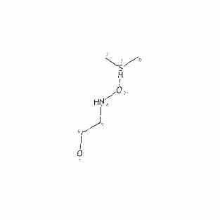 C[SH](C)ONCC[O]